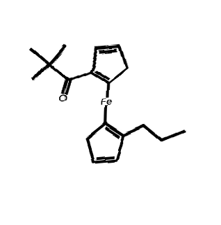 CCCC1=[C]([Fe][C]2=C(C(=O)C(C)(C)C)C=CC2)CC=C1